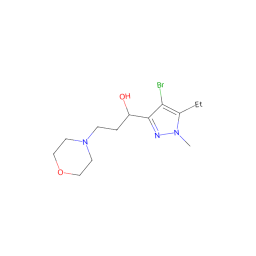 CCc1c(Br)c(C(O)CCN2CCOCC2)nn1C